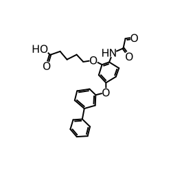 O=CC(=O)Nc1ccc(Oc2cccc(-c3ccccc3)c2)cc1OCCCCC(=O)O